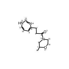 CC1CN(C(=O)CCC2=CC=CNN=N2)CCO1